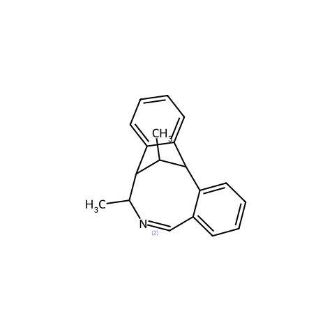 CC1/N=C\c2ccccc2C2c3ccccc3C1C2C